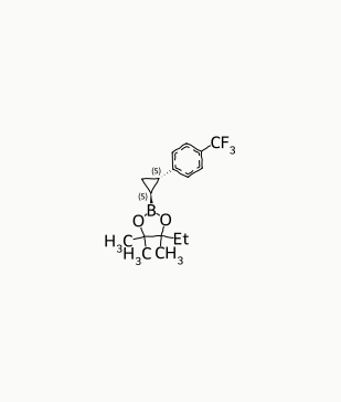 CCC1(C)OB([C@H]2C[C@@H]2c2ccc(C(F)(F)F)cc2)OC1(C)C